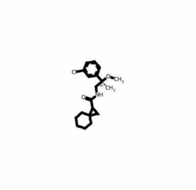 CO[C@@](C)(CNC(=O)C1CC12CCCCC2)c1cccc(Cl)c1